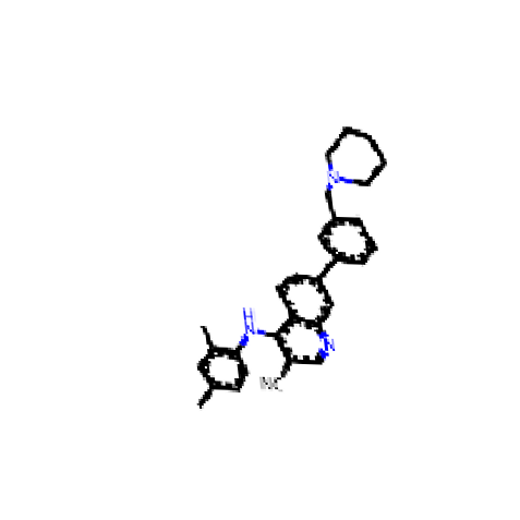 Cc1ccc(Nc2c(C#N)cnc3cc(-c4cccc(CN5CCCCC5)c4)ccc23)c(C)c1